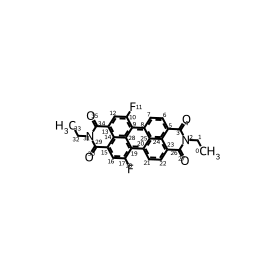 CCN1C(=O)c2ccc3c4c(F)cc5c6c(cc(F)c(c7ccc(c2c37)C1=O)c64)C(=O)N(CC)C5=O